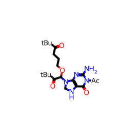 CC(=O)n1c(N)nc2c(c1=O)NCN2C(OCCCC(=O)C(C)(C)C)C(=O)C(C)(C)C